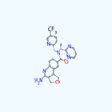 C[C@@H](c1ncccn1)N(Cc1ccc(C(F)(F)F)cn1)C(=O)c1ccc2nc(N)c3c(c2c1)COC3